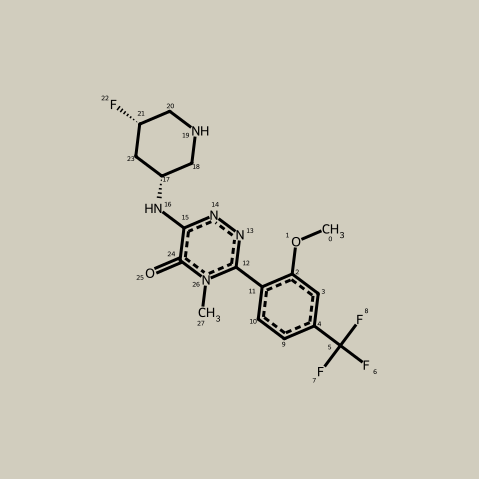 COc1cc(C(F)(F)F)ccc1-c1nnc(N[C@H]2CNC[C@@H](F)C2)c(=O)n1C